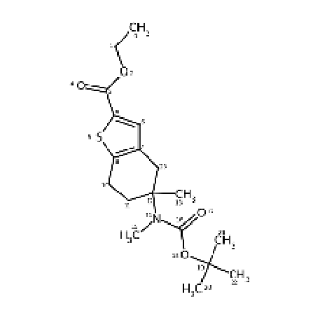 CCOC(=O)c1cc2c(s1)CCC(C)(N(C)C(=O)OC(C)(C)C)C2